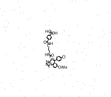 COc1ccc2c(c1)C(c1ccc(Cl)cc1)=N[C@@H](CC(=O)NCCCCNC(=O)c1ccc(B(O)O)cc1)c1nnc(C)n1-2